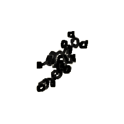 C[C@@]1(Cc2ccc(Br)cc2)C(=O)N(c2cc(Cl)cc(Cl)c2)c2ncc(S(=O)(=O)N3CCN(C(=O)CN4CCOCC4)CC3)n21